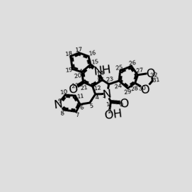 O=C(O)N1C(Cc2ccncc2)c2c([nH]c3ccccc3c2=O)C1c1ccc2c(c1)OCO2